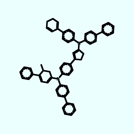 CC1CC(N(c2ccc(C3=C=C(N(c4ccc(C5=CCCC=C5)cc4)c4ccc(-c5ccccc5)cc4)CC3)cc2)c2ccc(-c3ccccc3)cc2)=CC=C1c1ccccc1